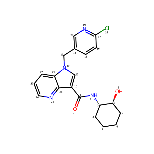 O=C(N[C@H]1CCCC[C@@H]1O)c1cn(Cc2ccc(Cl)nc2)c2cccnc12